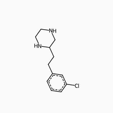 Clc1cccc(CCC2CNCCN2)c1